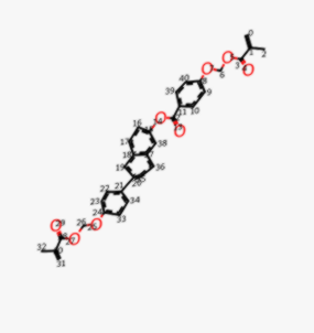 C=C(C)C(=O)OCOc1ccc(C(=O)Oc2ccc3cc(-c4ccc(OCOC(=O)C(=C)C)cc4)ccc3c2)cc1